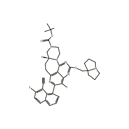 C#Cc1c(F)ccc2cccc(-c3nc4c5c(nc(OCC67CCCN6CCC7)nc5c3F)N3CCN(C(=O)OC(C)(C)C)C[C@H]3CC4)c12